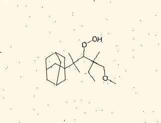 CCC(C)(COC)C(OO)C(C)(C)C12CC3CC(CC(C3)C1)C2